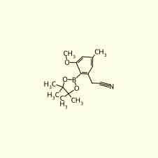 COc1cc(C)cc(CC#N)c1B1OC(C)(C)C(C)(C)O1